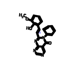 COc1cccc(/C=C/c2nc3ncncc3c(=O)n2-c2ccccc2)c1O